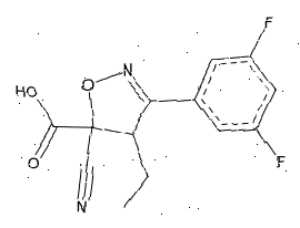 CCC1C(c2cc(F)cc(F)c2)=NOC1(C#N)C(=O)O